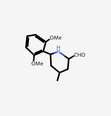 COc1cccc(OC)c1C1CC(C)CC(C=O)N1